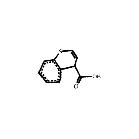 O=C(O)C1C=CSc2ccccc21